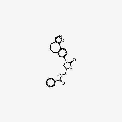 O=C(NC[C@H]1CN(c2ccc3c(c2)CCCc2cnoc2-3)C(=O)O1)c1ccccc1